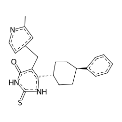 Cc1cc(Cc2c(=O)[nH]c(=S)[nH]c2[C@H]2CC[C@H](c3ccccc3)CC2)ccn1